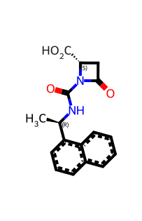 C[C@@H](NC(=O)N1C(=O)C[C@H]1C(=O)O)c1cccc2ccccc12